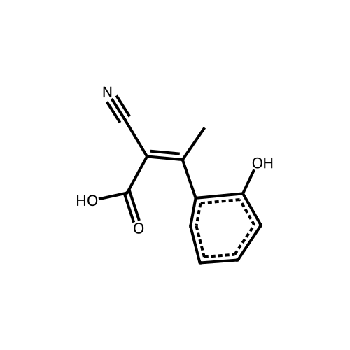 CC(=C(C#N)C(=O)O)c1ccccc1O